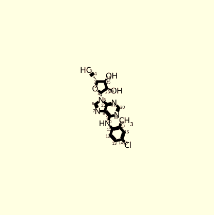 C#C[C@H]1O[C@@H](n2cnc3c(Nc4ccc(Cl)cc4C)ncnc32)[C@H](O)[C@@H]1O